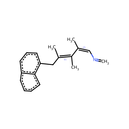 C=N/C=C(C)\C(C)=C(/C)Cc1cccc2ccccc12